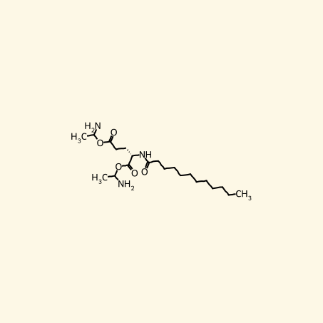 CCCCCCCCCCCC(=O)N[C@@H](CCC(=O)OC(C)N)C(=O)OC(C)N